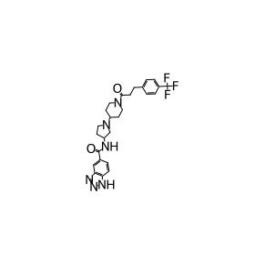 O=C(NC1CCN(C2CCN(C(=O)CCc3ccc(C(F)(F)F)cc3)CC2)C1)c1ccc2[nH]nnc2c1